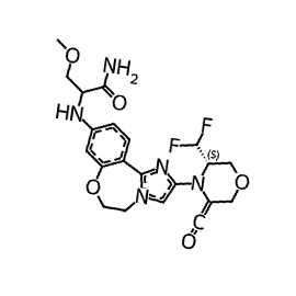 COCC(Nc1ccc2c(c1)OCCn1cc(N3C(=C=O)COC[C@H]3C(F)F)nc1-2)C(N)=O